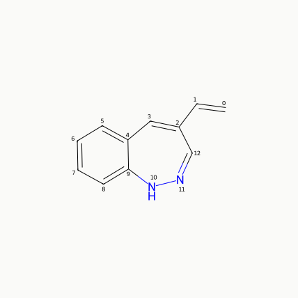 C=CC1=Cc2ccccc2NN=C1